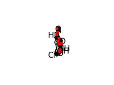 O=C(Nc1ccc(N2C(=O)Cc3cc(NCCCN4CCCC4)ccc3C2=O)c(F)c1)NS(=O)(=O)c1ccc(Cl)s1